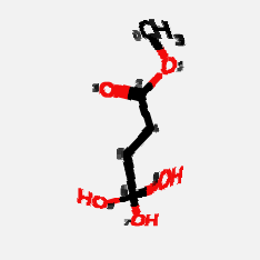 COC(=O)CCC(O)(O)O